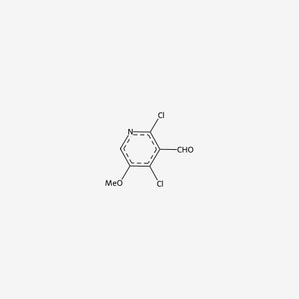 COc1cnc(Cl)c(C=O)c1Cl